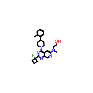 Cc1ccccc1C1CCN(c2nc(C3(F)CCC3)nc3cnc(N(C)CCO)cc23)CC1